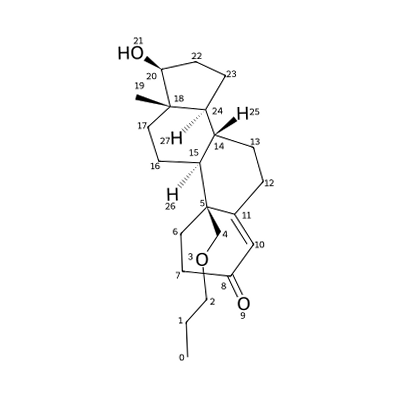 CCCOC[C@]12CCC(=O)C=C1CC[C@@H]1[C@@H]2CC[C@]2(C)[C@@H](O)CC[C@@H]12